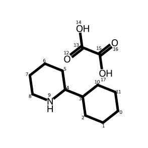 C1CCC(C2CCCCN2)CC1.O=C(O)C(=O)O